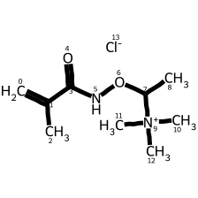 C=C(C)C(=O)NOC(C)[N+](C)(C)C.[Cl-]